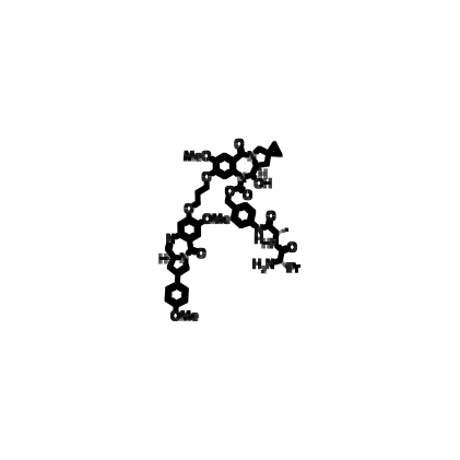 COc1ccc(C2=CN3C(=O)c4cc(OC)c(OCCCOc5cc6c(cc5OC)C(=O)N5CC7(CC7)C[C@H]5C(O)N6C(=O)OCc5ccc(NC(=O)[C@H](C)NC(=O)[C@@H](N)C(C)C)cc5)cc4N=C[C@@H]3C2)cc1